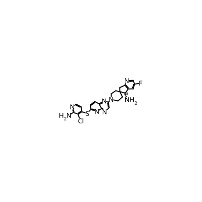 Nc1nccc(Sc2ccc3nc(N4CCC5(CC4)Cc4ncc(F)cc4[C@H]5N)cnc3n2)c1Cl